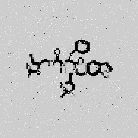 Cc1nc(CN(Cc2ccc3ccoc3c2)C(=O)[C@H](Cc2ccccc2)NC(=O)OCc2sc(C)nc2C)cs1